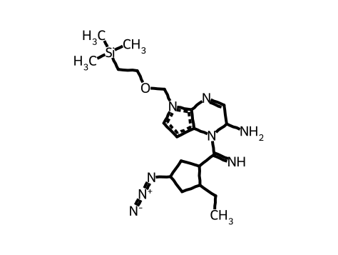 CCC1CC(N=[N+]=[N-])CC1C(=N)N1c2ccn(COCC[Si](C)(C)C)c2N=CC1N